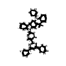 CC1(C)c2ccccc2N(c2ccccc2)c2cc3c4ccccc4n(C4=NC=C(c5nc(-c6ccccc6)cc(-c6ccccc6)n5)CC4)c3cc21